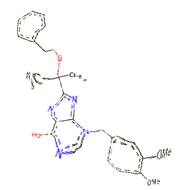 COc1ccc(Cn2cnc(O)c3nc(C(C)(C)OCc4ccccc4)nc2-3)cc1OC